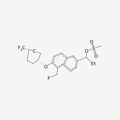 CCC(OS(C)(=O)=O)c1ccc2c(CF)c(O[C@H]3CC[C@@H](C(F)(F)F)CC3)ccc2c1